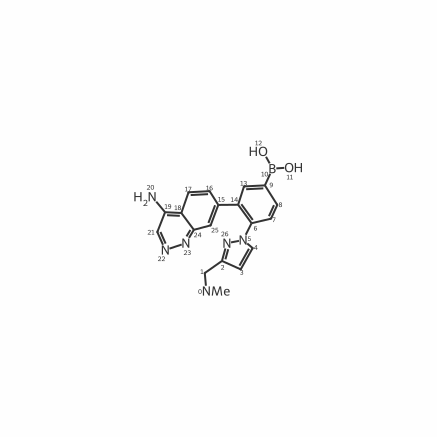 CNCc1ccn(-c2ccc(B(O)O)cc2-c2ccc3c(N)cnnc3c2)n1